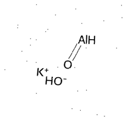 [K+].[OH-].[O]=[AlH]